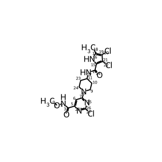 CONC(=O)c1cc(N2CCC(NC(=O)c3[nH]c(C)c(Cl)c3Cl)CC2)nc(Cl)n1